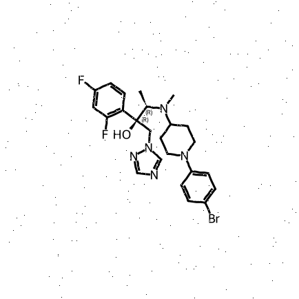 C[C@@H](N(C)C1CCN(c2ccc(Br)cc2)CC1)[C@](O)(Cn1cncn1)c1ccc(F)cc1F